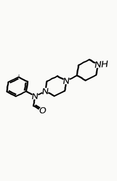 O=CN(c1c[c]ccc1)N1CCN(C2CCNCC2)CC1